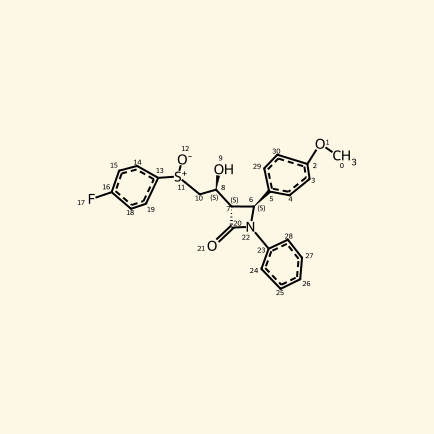 COc1ccc([C@@H]2[C@@H]([C@H](O)C[S+]([O-])c3ccc(F)cc3)C(=O)N2c2ccccc2)cc1